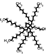 CCCCCCCCCCC(CCCCCCCC)CC1(CCOCCO)CCCC1(CC(CCCCCCCC)CCCCCCCCCC)CC(CCCCCCCC)CCCCCCCCCC